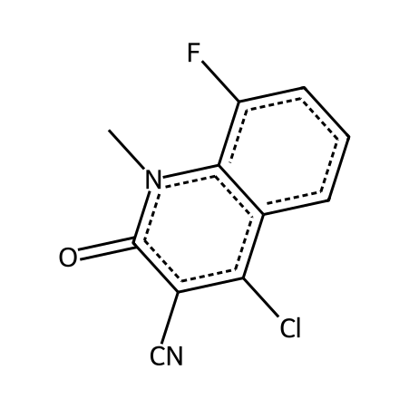 Cn1c(=O)c(C#N)c(Cl)c2cccc(F)c21